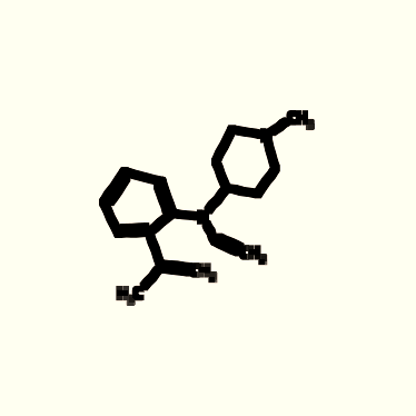 C=CN(c1ccccc1C(=C)C)C1CCN(C)CC1